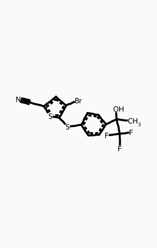 CC(O)(c1ccc(Sc2sc(C#N)cc2Br)cc1)C(F)(F)F